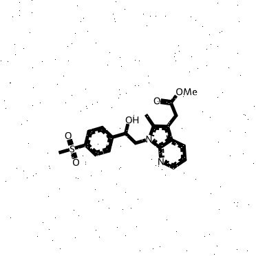 COC(=O)Cc1c(C)n(CC(O)c2ccc(S(C)(=O)=O)cc2)c2ncccc12